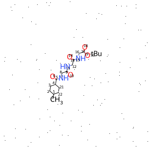 CC1CCC(C(=O)NCC(=O)NCC(=O)NCC(=O)OC(C)(C)C)CC1